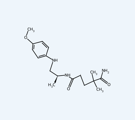 COc1ccc(NC[C@H](C)NC(=O)[CH]CC(C)(C)C(N)=O)cc1